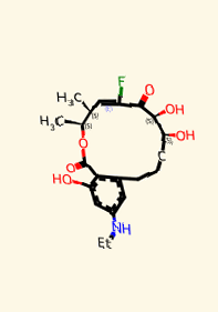 CCNc1cc(O)c2c(c1)CCC[C@H](O)[C@H](O)C(=O)/C(F)=C\[C@H](C)[C@H](C)OC2=O